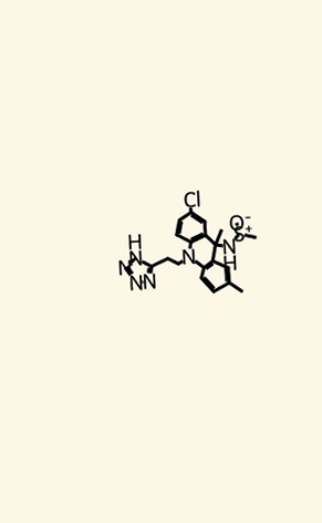 Cc1ccc2c(c1)C(C)(N[S+](C)[O-])c1cc(Cl)ccc1N2CCc1nnn[nH]1